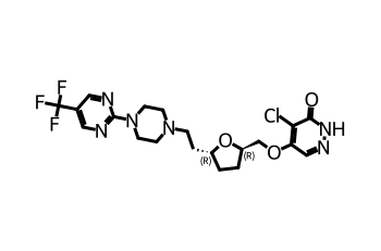 O=c1[nH]ncc(OC[C@H]2CC[C@H](CCN3CCN(c4ncc(C(F)(F)F)cn4)CC3)O2)c1Cl